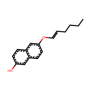 CCCCC=COc1ccc2[c]c(O)ccc2c1